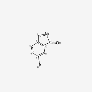 O=C1N=Cc2ccc(F)cc21